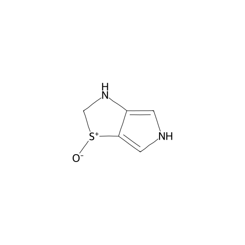 [O-][S+]1CNc2c[nH]cc21